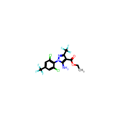 CCOC(=O)c1c(C(F)(F)F)nn(-c2c(Cl)cc(C(F)(F)F)cc2Cl)c1N